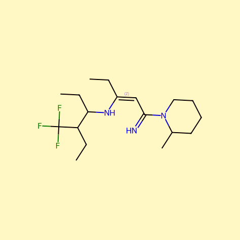 CC/C(=C/C(=N)N1CCCCC1C)NC(CC)C(CC)C(F)(F)F